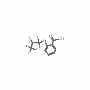 O=C(O)c1ccccc1OC(F)(F)C(F)C(F)(F)F